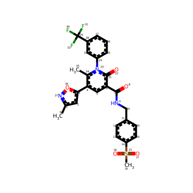 Cc1cc(-c2cc(C(=O)NCc3ccc(S(C)(=O)=O)cc3)c(=O)n(-c3cccc(C(F)(F)F)c3)c2C)on1